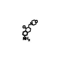 Nc1ccc2c(c1)CCC(CN1CCOCC1)C2=O